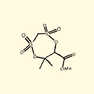 COC(=O)C1OS(=O)(=O)CS(=O)(=O)OC1(C)C